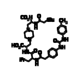 Cc1ccc(NC(=O)Nc2ccc(CC(=O)NC(CC(C)C)C(=O)NC(CN3CCN(CC(NC(=O)CC(C)(C)C)C(=O)O)CC3)C(=O)O)cc2)cc1